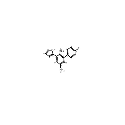 CCCCc1c(-c2ccc(F)cc2)nc(N)nc1-c1ccco1